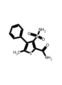 Cc1sc(C(N)=O)c(S(N)(=O)=O)c1-c1ccccc1